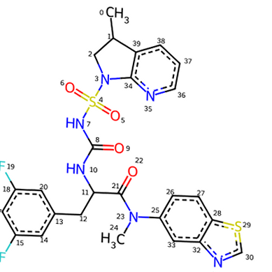 CC1CN(S(=O)(=O)NC(=O)NC(Cc2cc(F)cc(F)c2)C(=O)N(C)c2ccc3scnc3c2)c2ncccc21